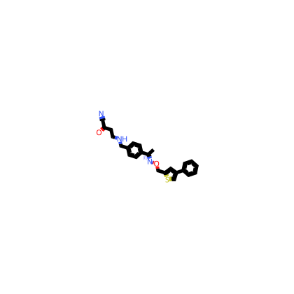 C/C(=N\OCc1cc(-c2ccccc2)cs1)c1ccc(CNCCC(=O)C#N)cc1